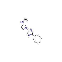 BNC1CCN(c2cnc(C3CCCCCCC3)cn2)C1